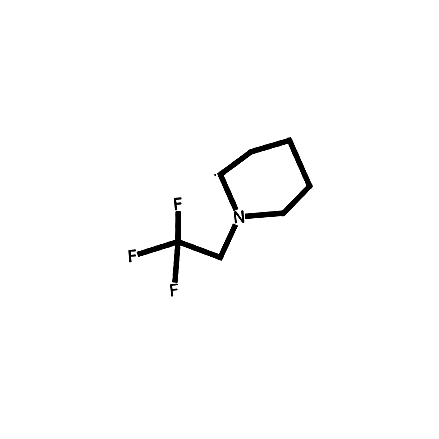 FC(F)(F)CN1[CH]CCCC1